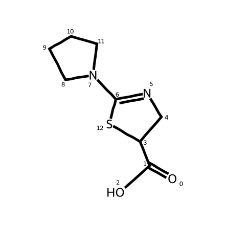 O=C(O)C1CN=C(N2CCCC2)S1